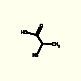 C[C](S)C(=O)O